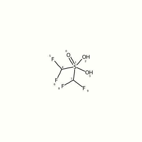 O=S(O)(O)(C(F)F)C(F)F